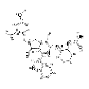 COc1ccc(CN2Cc3c(F)c(NC4CCCCC4NC(=O)O)nc(-c4cnn5ccccc45)c3C2=O)c(OC)c1